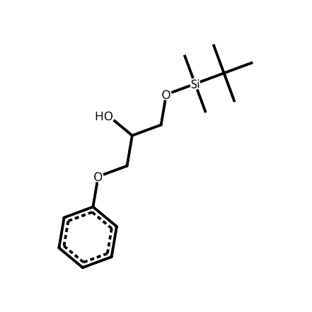 CC(C)(C)[Si](C)(C)OCC(O)COc1ccccc1